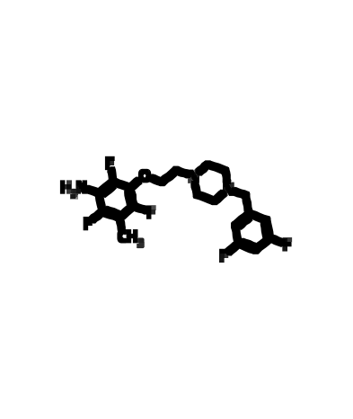 Cc1c(F)c(N)c(F)c(OCCN2CCN(Cc3cc(F)cc(F)c3)CC2)c1F